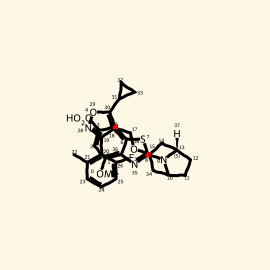 COc1cc(C(=O)O)cc2sc(N3C4CC[C@H]3CC(OCc3c(-c5c(C)cccc5F)noc3C3CC3)C4)nc12